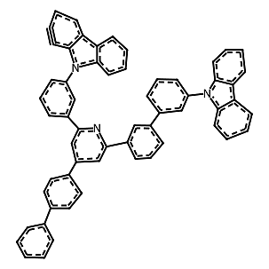 c1ccc2c3ccccc3n(-c3cccc(-c4cc(-c5ccc(-c6ccccc6)cc5)cc(-c5cccc(-c6cccc(-n7c8ccccc8c8ccccc87)c6)c5)n4)c3)c2c#1